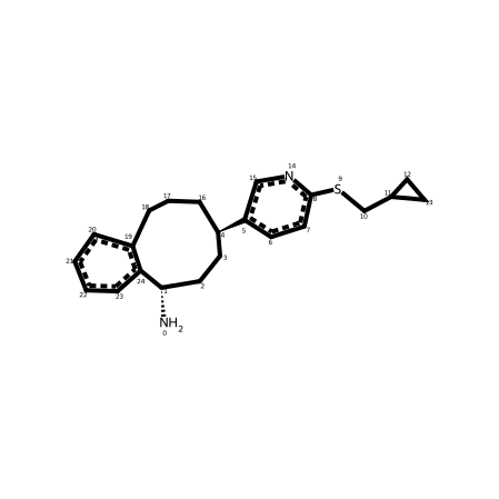 N[C@H]1CC[C@H](c2ccc(SCC3CC3)nc2)CCCc2ccccc21